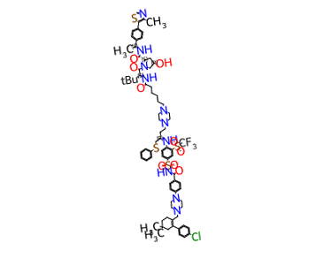 Cc1ncsc1-c1ccc([C@H](C)NC(=O)[C@@H]2C[C@@H](O)CN2C(=O)[C@@H](NC(=O)CCCCCN2CCN(CC[C@H](CSc3ccccc3)Nc3ccc(S(=O)(=O)NC(=O)c4ccc(N5CCN(CC6=C(c7ccc(Cl)cc7)CC(C)(C)CC6)CC5)cc4)cc3S(=O)(=O)C(F)(F)F)CC2)C(C)(C)C)cc1